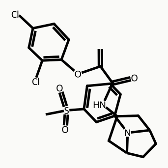 C=C(Oc1ccc(Cl)cc1Cl)C(=O)NC1CC2CCC(C1)N2c1cccc(S(C)(=O)=O)c1